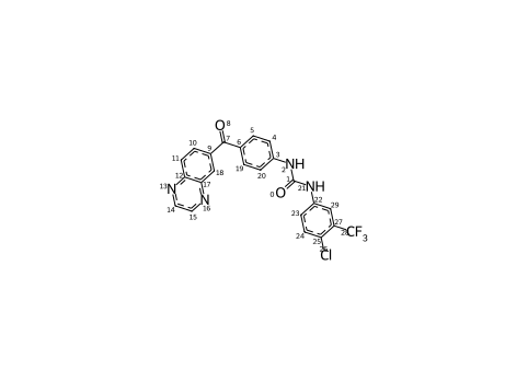 O=C(Nc1ccc(C(=O)c2ccc3nccnc3c2)cc1)Nc1ccc(Cl)c(C(F)(F)F)c1